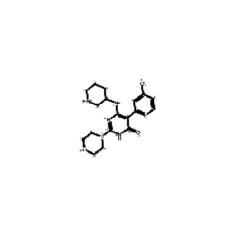 N#Cc1ccnc(-c2c(NC3CCCNC3)nc(N3CCOCC3)[nH]c2=O)c1